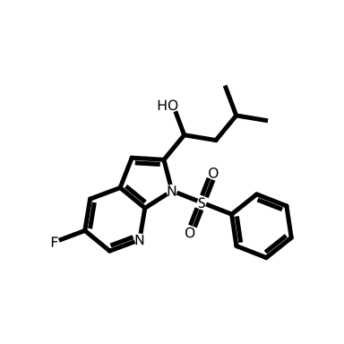 CC(C)CC(O)c1cc2cc(F)cnc2n1S(=O)(=O)c1ccccc1